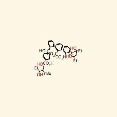 CCC(O)CC(O)(CC)CC.CCCCC(CO)C(O)CC.O=C(O)c1ccccc1.O=C(O)c1ccccc1.O=C(O)c1ccccc1.O=C(O)c1ccccc1